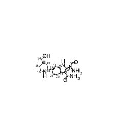 NC(=O)c1c(N(N)C=O)[nH]c2cc(C3CC(CO)CCN3)ccc12